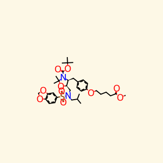 COC(=O)CCCCOc1ccc(C[C@H]2[C@@H](CN(CC(C)C)S(=O)(=O)c3ccc4c(c3)OCO4)OC(C)(C)N2C(=O)OC(C)(C)C)cc1